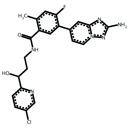 Cc1cc(F)c(-c2ccn3nc(N)nc3c2)cc1C(=O)NCCC(O)c1ccc(Cl)cn1